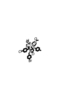 CC(=O)N1CCN(C(=O)[C@]2(Sc3ccc(C)cc3)CC(=O)N(Cc3ccc(Br)cc3)[C@H]2c2cn(C[SH](=O)=O)c3cc(Cl)ccc23)CC1